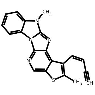 C#C/C=C\c1c(C)sc2cnc3c(nc4n(C)c5ccccc5n34)c12